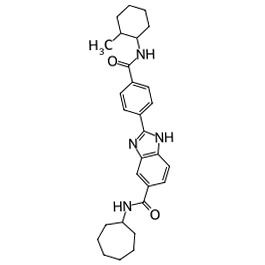 CC1CCCCC1NC(=O)c1ccc(-c2nc3cc(C(=O)NC4CCCCCC4)ccc3[nH]2)cc1